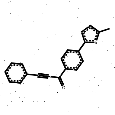 Cc1ccc(-c2ccc(C(=O)C#Cc3ccccc3)cc2)s1